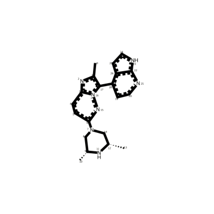 Cc1nc2ccc(N3C[C@@H](C)N[C@@H](C)C3)nn2c1-c1ccnc2[nH]ccc12